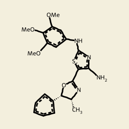 COc1cc(Nc2nc(N)c(C3=N[C@H](C)[C@H](c4ccccc4)O3)s2)cc(OC)c1OC